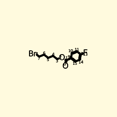 O=C(OCCCCCBr)c1ccc(F)cc1